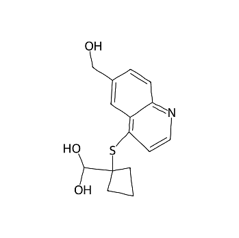 OCc1ccc2nccc(SC3(C(O)O)CCC3)c2c1